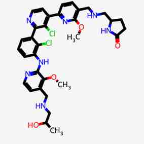 COc1nc(-c2ccnc(-c3cccc(Nc4nccc(CNCC(C)O)c4OC)c3Cl)c2Cl)ccc1CNCC1CCC(=O)N1